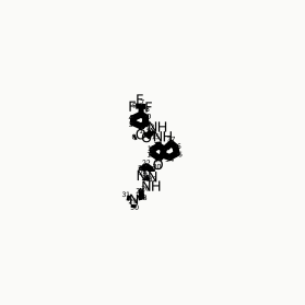 COc1ccc(C(F)(F)F)cc1NC(=O)Nc1ccc(Oc2ccnc(NCCN(C)C)n2)c2ccccc12